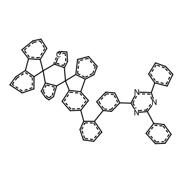 c1ccc(-c2nc(-c3ccccc3)nc(-c3cccc(-c4ccccc4-c4ccc5c(c4)-c4ccccc4C54c5ccccc5C5(c6ccccc6-c6ccccc65)c5ccccc54)c3)n2)cc1